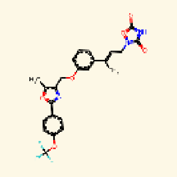 CC(=CCn1oc(=O)[nH]c1=O)c1cccc(OCc2nc(-c3ccc(OC(F)(F)F)cc3)oc2C)c1